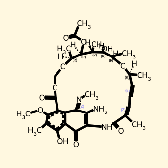 C/N=C1\C(N)=C2NC(=O)/C(C)=C\C=C\[C@H](C)C[C@@H](C)[C@@H](O)[C@@H](C)[C@H](OC(C)=O)[C@H](C)CCCC(=O)c3c(OC)c(C)c(O)c(c31)C2=O